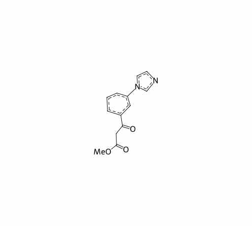 COC(=O)CC(=O)c1cccc(-n2ccnc2)c1